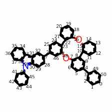 c1ccc(-c2ccc3c(c2)-c2ccccc2Oc2ccccc2-c2ccc(-c4ccc5c(c4)c4ccccc4n5-c4ccccc4)cc2O3)cc1